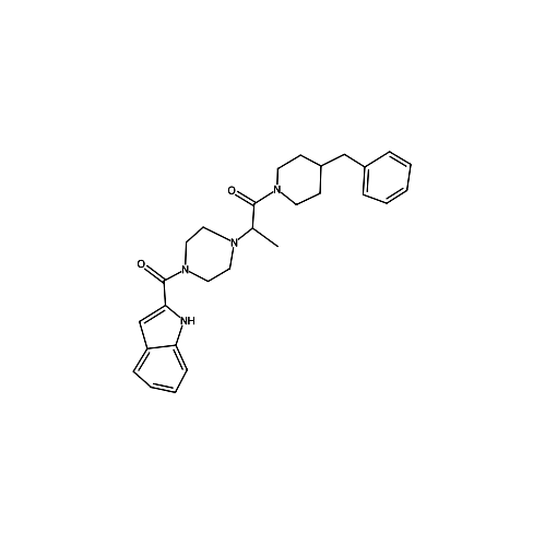 CC(C(=O)N1CCC(Cc2ccccc2)CC1)N1CCN(C(=O)c2cc3ccccc3[nH]2)CC1